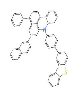 c1ccc(-c2ccc(-c3ccccc3N(c3ccc(-c4ccc5sc6ccccc6c5c4)cc3)c3cccc(-c4ccc5ccccc5c4)c3)cc2)cc1